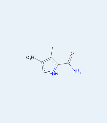 Cc1c([N+](=O)[O-])c[nH]c1C(N)=O